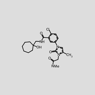 CNC(=O)Cn1c(C)cn(-c2ccc(Cl)c(C(=O)NCC3(O)CCCCCC3)c2)c1=O